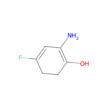 NC1=C(O)CCC(F)=C1